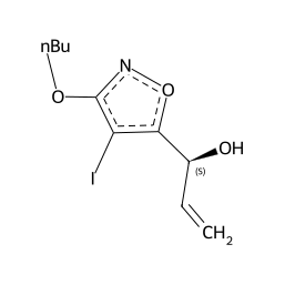 C=C[C@H](O)c1onc(OCCCC)c1I